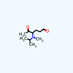 CC(=O)C(CCC=O)N(C)C(C)C